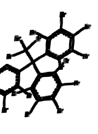 Brc1cccc(C(c2c(Br)c(Br)c(Br)c(Br)c2Br)(c2c(Br)c(Br)c(Br)c(Br)c2Br)C(Br)(Br)Br)c1Br